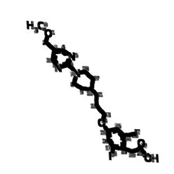 COCc1cnc(N2CCC(CCCOc3cc(F)c(CC(=O)O)c(F)c3)CC2)nc1